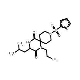 CCCN1C(=O)C(CC(C)C)NC(=O)C12CCN(S(=O)(=O)c1cccs1)CC2